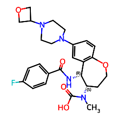 CN(C(=O)O)[C@H]1CCOc2ccc(N3CCN(C4COC4)CC3)cc2[C@H]1NC(=O)c1ccc(F)cc1